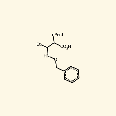 CCCCCC(C(=O)O)C(CC)NOCc1ccccc1